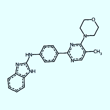 Cc1cnc(-c2ccc(Nc3nc4ccccc4[nH]3)cc2)nc1N1CCOCC1